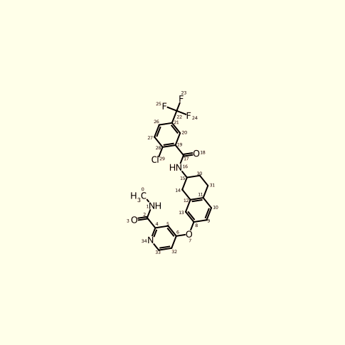 CNC(=O)c1cc(Oc2ccc3c(c2)CC(NC(=O)c2cc(C(F)(F)F)ccc2Cl)CC3)ccn1